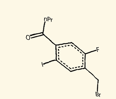 CCCC(=O)c1cc(F)c(CBr)cc1I